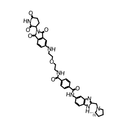 C[C@H]1CCCN1Cc1nc2cc(NC(=O)c3ccc(C(=O)NCCOCCNc4ccc5c(c4)C(=O)N(C4CCC(=O)NC4=O)C5=O)cc3)ccc2[nH]1